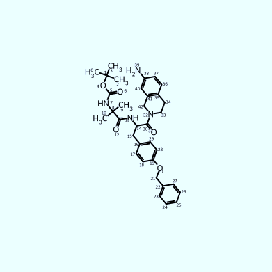 CC(C)(C)OC(=O)NC(C)(C)C(=O)NC(Cc1ccc(OCc2ccccc2)cc1)C(=O)N1CCc2ccc(N)cc2C1